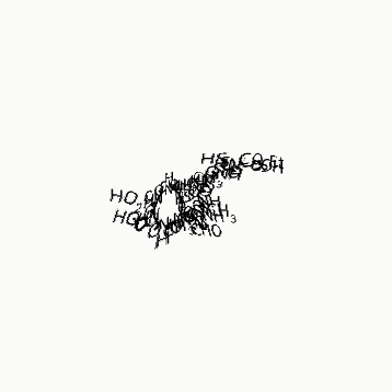 CCOC(=O)[C@H](Cc1ccc(O)cc1)NC(=O)C(CSS)NC(=O)CNC(=O)C(NC(=O)[C@H](CSS)NC(=O)C(C)NC(=O)C1CCCN1C(=O)[C@H](CC=O)NC(=O)C1CSSCC(N)C(=O)N[C@@H](C)C(=O)NC(CCC(=O)O)C(=O)N[C@@H](Cc2ccc(O)cc2)C(=O)NC(C)C(=O)N1)[C@H](C)O